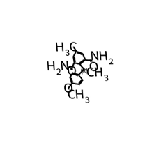 COc1ccc([C@@H](C)c2c(C(N)=O)cc(C)cc2C(N)=O)cc1